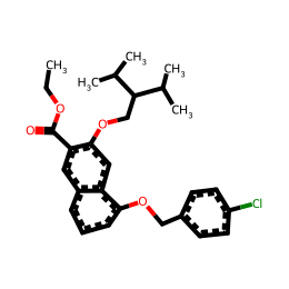 CCOC(=O)c1cc2cccc(OCc3ccc(Cl)cc3)c2cc1OCC(C(C)C)C(C)C